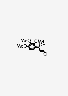 CC=CC(O)c1ccc(OC)c(OC)c1OC